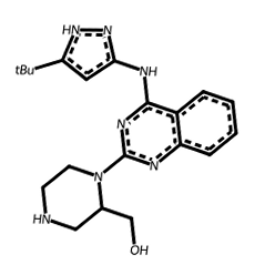 CC(C)(C)c1cc(Nc2nc(N3CCNCC3CO)nc3ccccc23)n[nH]1